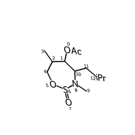 CC(=O)OC1C(C)COS(=O)N(C)C1CC(C)C